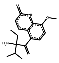 C=C(c1ccc(OC)c2[nH]c(=O)ccc12)C(N)(CC)C(C)C